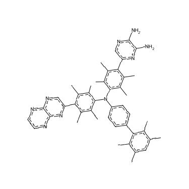 Cc1cc(C)c(C)c(-c2ccc(N(c3c(C)c(C)c(-c4cnc(N)c(N)n4)c(C)c3C)c3c(C)c(C)c(-c4cnc5nccnc5n4)c(C)c3C)cc2)c1C